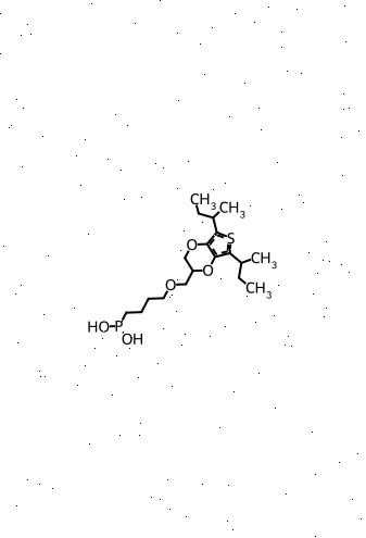 CCC(C)c1sc(C(C)CC)c2c1OCC(COCCCCP(O)O)O2